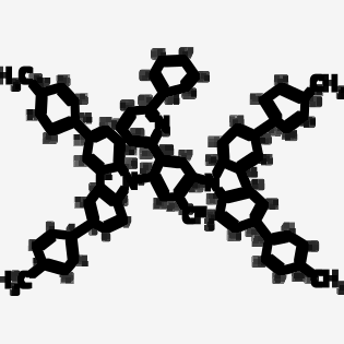 Cc1ccc(-c2ccc3c(c2)c2cc(-c4ccc(C)cc4)ccc2n3-c2cc(C(F)(F)F)c(-n3c4ccc(-c5ccc(C)cc5)cc4c4cc(-c5ccc(C)cc5)ccc43)cc2-c2cccc(-c3ccccc3)n2)cc1